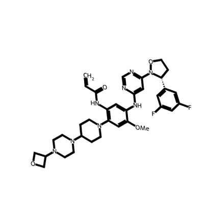 C=CC(=O)Nc1cc(Nc2cc(N3OCC[C@@H]3c3cc(F)cc(F)c3)ncn2)c(OC)cc1N1CCC(N2CCN(C3COC3)CC2)CC1